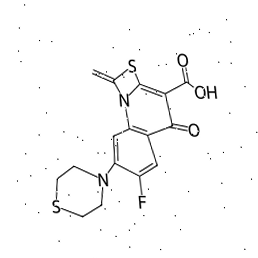 C=c1sc2c(C(=O)O)c(=O)c3cc(F)c(N4CCSCC4)cc3n12